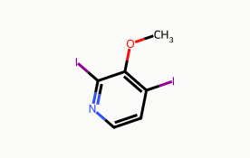 COc1c(I)ccnc1I